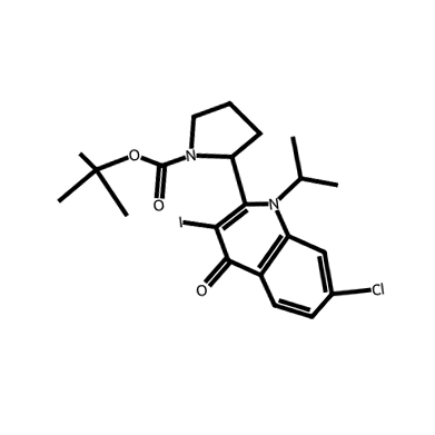 CC(C)n1c(C2CCCN2C(=O)OC(C)(C)C)c(I)c(=O)c2ccc(Cl)cc21